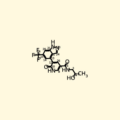 C[C@H](O)CNC(=O)c1c[nH]c(=O)c(-c2cc(C(F)(F)F)cc3[nH]ncc23)c1